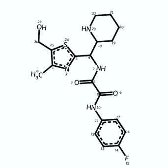 Cc1nc(C(NC(=O)C(=O)Nc2ccc(F)cc2)C2CCCCN2)sc1CO